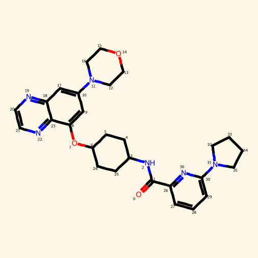 O=C(NC1CCC(Oc2cc(N3CCOCC3)cc3nccnc23)CC1)c1cccc(N2CCCC2)n1